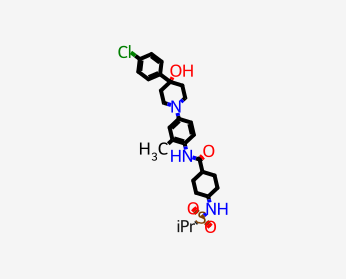 Cc1cc(N2CCC(O)(c3ccc(Cl)cc3)CC2)ccc1NC(=O)C1CCC(NS(=O)(=O)C(C)C)CC1